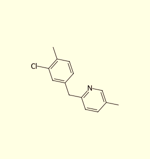 Cc1ccc(Cc2ccc(C)c(Cl)c2)nc1